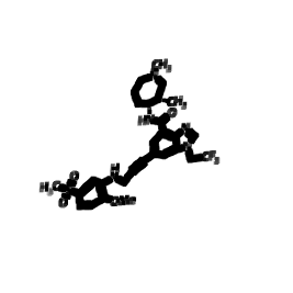 COc1ccc(S(C)(=O)=O)cc1NCC#Cc1cc(C(=O)N[C@@H]2CCCN(C)C[C@@H]2C)c2ncn(CC(F)(F)F)c2c1